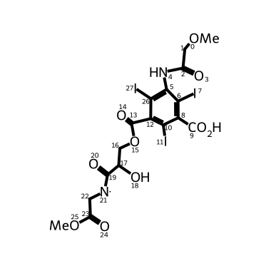 COCC(=O)Nc1c(I)c(C(=O)O)c(I)c(C(=O)OCC(O)C(=O)[N]CC(=O)OC)c1I